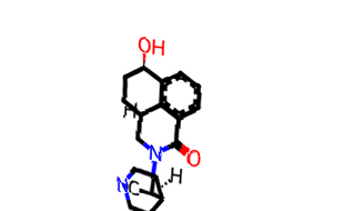 O=C1c2cccc3c2[C@H](CC[C@H]3O)CN1[C@@H]1CN2CCC1CC2